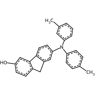 Cc1ccc(N(c2cccc(C)c2)c2ccc3c(c2)Cc2ccc(O)cc2-3)cc1